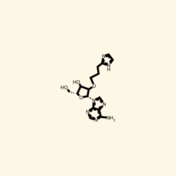 Nc1ncnc2c1ncn2[C@@H]1O[C@H](CO)C(O)C1OCCCc1ncc[nH]1